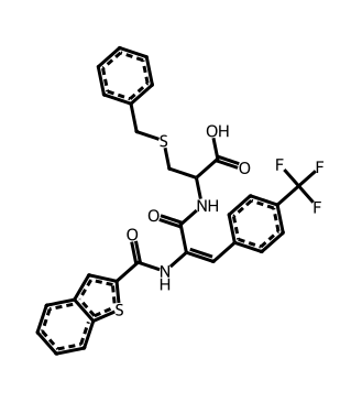 O=C(NC(CSCc1ccccc1)C(=O)O)C(=Cc1ccc(C(F)(F)F)cc1)NC(=O)c1cc2ccccc2s1